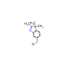 CC1=Nc2cc(CBr)ccc2C1(C)C